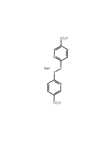 O=C(O)c1ccc(SSc2ccc(C(=O)O)cn2)nc1.[NaH]